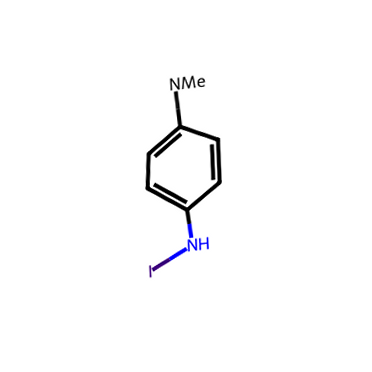 CNc1ccc(NI)cc1